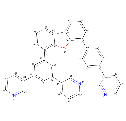 c1cncc(-c2ccc(-c3cccc4c3oc3c(-c5cc(-c6cccnc6)cc(-c6cccnc6)c5)cccc34)cc2)c1